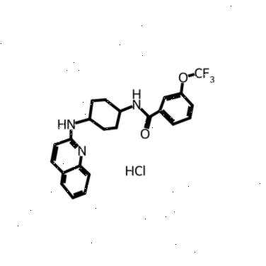 Cl.O=C(NC1CCC(Nc2ccc3ccccc3n2)CC1)c1cccc(OC(F)(F)F)c1